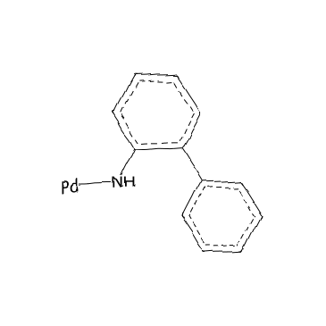 [Pd][NH]c1ccccc1-c1ccccc1